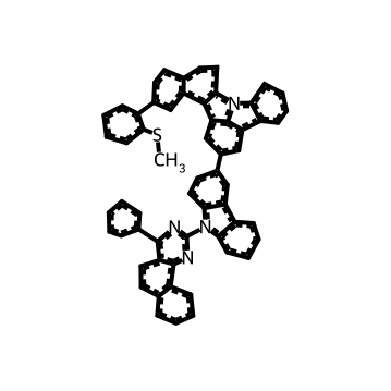 CSc1ccccc1-c1ccc2ccc3c(c2c1)c1cc(-c2ccc4c(c2)c2ccccc2n4-c2nc(-c4ccccc4)c4ccc5ccccc5c4n2)cc2c4ccccc4n3c21